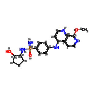 COc1nccc2c(Nc3ccc(S(=N)(=O)N[C@H]4CCC[C@H]4O)cc3)ccnc12